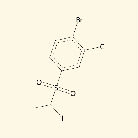 O=S(=O)(c1ccc(Br)c(Cl)c1)C(I)I